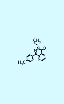 CCCn1nc(-c2ccc(C)cc2)c2ncccc2c1=O